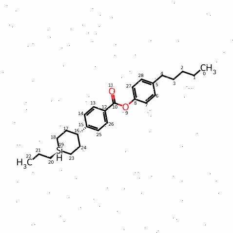 CCCCCc1ccc(OC(=O)c2ccc([C@H]3CC[Si@H](CCC)CC3)cc2)cc1